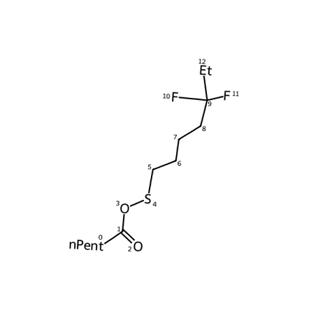 CCCCCC(=O)OSCCCCC(F)(F)CC